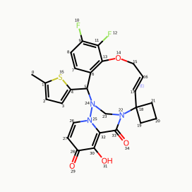 Cc1ccc(C2c3ccc(F)c(F)c3OC/C=C/C3(CCC3)N3CN2n2ccc(=O)c(O)c2C3=O)s1